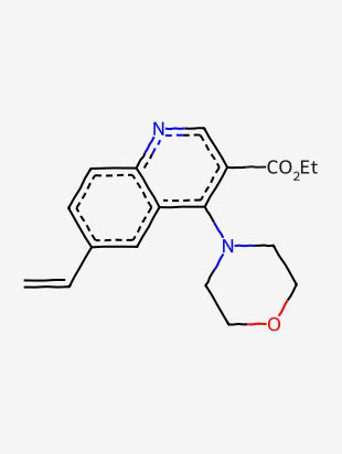 C=Cc1ccc2ncc(C(=O)OCC)c(N3CCOCC3)c2c1